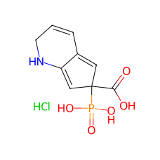 Cl.O=C(O)C1(P(=O)(O)O)C=C2C=CCNC2=C1